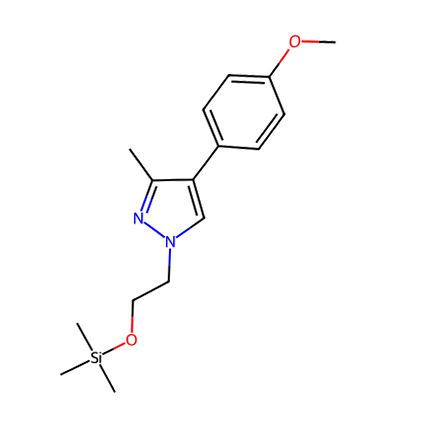 COc1ccc(-c2cn(CCO[Si](C)(C)C)nc2C)cc1